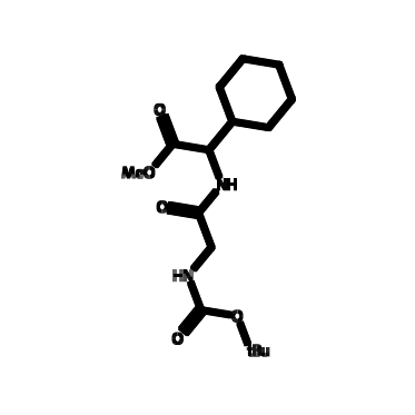 COC(=O)C(NC(=O)CNC(=O)OC(C)(C)C)C1CCCCC1